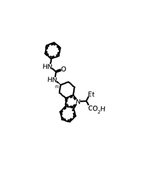 CCC(C(=O)O)n1c2c(c3ccccc31)C[C@@H](NC(=O)Nc1ccccc1)CC2